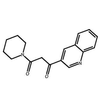 O=C(CC(=O)N1CCCCC1)c1cnc2ccccc2c1